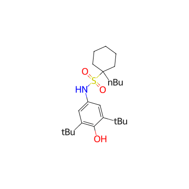 CCCCC1(S(=O)(=O)Nc2cc(C(C)(C)C)c(O)c(C(C)(C)C)c2)CCCCC1